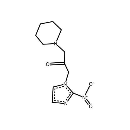 O=C(CN1CCCCC1)Cn1ccnc1[N+](=O)[O-]